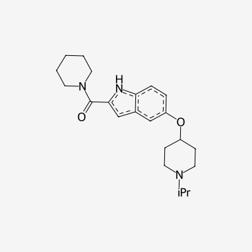 CC(C)N1CCC(Oc2ccc3[nH]c(C(=O)N4CCCCC4)cc3c2)CC1